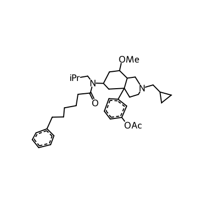 COC1CC(N(CC(C)C)C(=O)CCCCCc2ccccc2)CC2(c3cccc(OC(C)=O)c3)CCN(CC3CC3)CC12